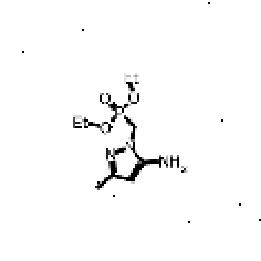 CCOP(=O)(Cn1nc(C)cc1N)OCC